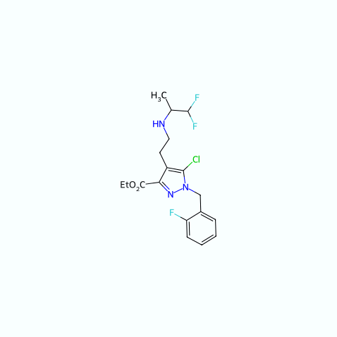 CCOC(=O)c1nn(Cc2ccccc2F)c(Cl)c1CCNC(C)C(F)F